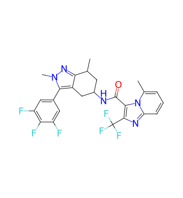 Cc1cccc2nc(C(F)(F)F)c(C(=O)NC3Cc4c(nn(C)c4-c4cc(F)c(F)c(F)c4)C(C)C3)n12